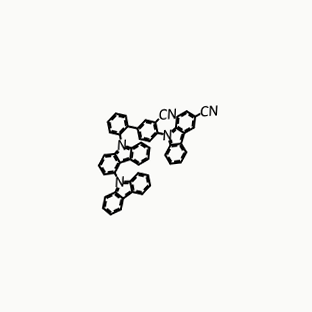 N#Cc1ccc2c(c1)c1ccccc1n2-c1ccc(-c2ccccc2-n2c3ccccc3c3c(-n4c5ccccc5c5ccccc54)cccc32)cc1C#N